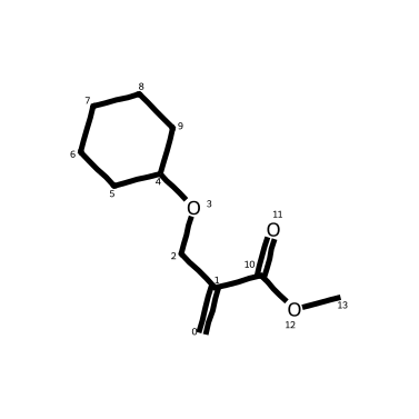 C=C(COC1CCCCC1)C(=O)OC